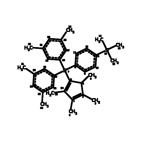 CC1=C(C)C(C)C([Si](c2ccc([Si](C)(C)C)cc2)(c2cc(C)cc(C)c2)c2cc(C)cc(C)c2)=C1C